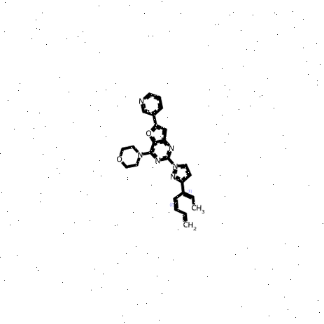 C=C/C=C\C(=C/C)c1ccn(-c2nc(N3CCOCC3)c3oc(-c4cccnc4)cc3n2)n1